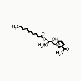 CCCCCCCCCC(=O)OC[C@@H](OC)[C@@H](O)C[n+]1cccc(C(N)=O)c1